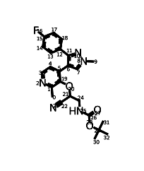 Cc1nccc(-c2cn(C)nc2-c2ccc(F)cc2)c1OC(C#N)CNC(=O)OC(C)(C)C